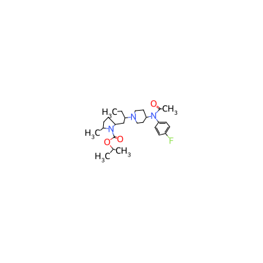 CCC(CC1CCC(C)N1C(=O)OC(C)C)N1CCC(N(C(C)=O)c2ccc(F)cc2)CC1